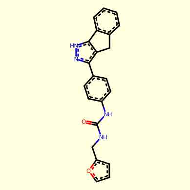 O=C(NCc1ccco1)Nc1ccc(-c2n[nH]c3c2Cc2ccccc2-3)cc1